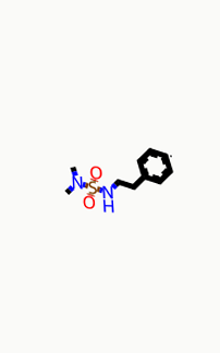 CN(C)S(=O)(=O)NCCc1cc[c]cc1